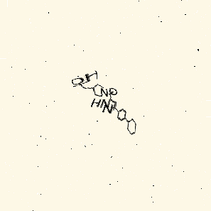 CC(C)(O)CC1CCN(C(=O)c2cc(-c3ccc(C4CCCCC4)cc3)n[nH]2)CC1